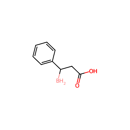 BC(CC(=O)O)c1ccccc1